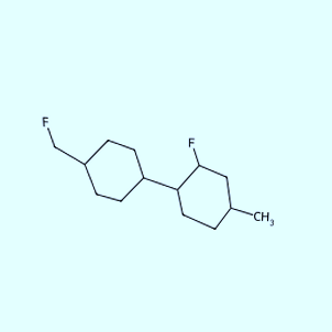 CC1CCC(C2CCC(CF)CC2)C(F)C1